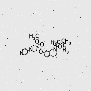 CCOC(=O)C1(COc2ccc3c(c2)CN(C(=O)OC(C)(C)C)CCC3)CCN(c2ccncc2)CC1